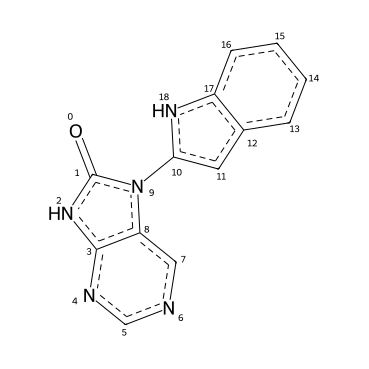 O=c1[nH]c2ncncc2n1-c1cc2ccccc2[nH]1